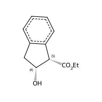 CCOC(=O)[C@H]1c2ccccc2C[C@H]1O